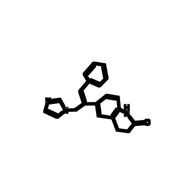 O=C1CCc2cc(/C(=C\c3ccccc3)Cn3ccnc3)ccc2N1